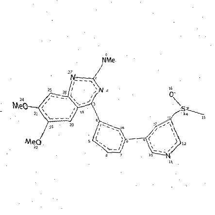 CNc1nc(-c2cccc(-c3cncc([S+](C)[O-])c3)c2)c2cc(OC)c(OC)cc2n1